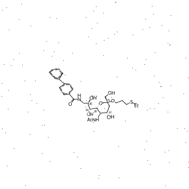 CCSCCCO[C@]1(CO)C[C@H](O)C(NC(C)=O)[C@H]([C@H](O)[C@H](O)CNC(=O)c2ccc(-c3ccccc3)cc2)O1